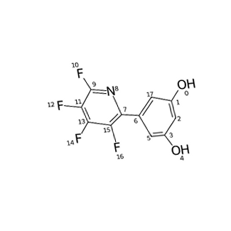 Oc1cc(O)cc(-c2nc(F)c(F)c(F)c2F)c1